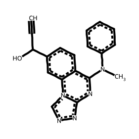 C#CC(O)c1ccc2c(N(C)c3ccccc3)nc3nncn3c2c1